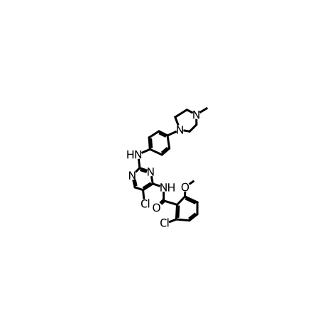 COc1cccc(Cl)c1C(=O)Nc1nc(Nc2ccc(N3CCN(C)CC3)cc2)ncc1Cl